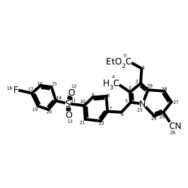 CCOC(=O)Cc1c(C)c(Cc2ccc(S(=O)(=O)c3ccc(F)cc3)cc2)n2cc(C#N)ccc12